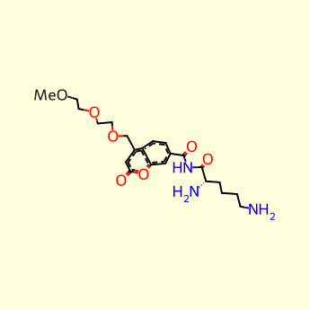 COCCOCCOCc1cc(=O)oc2cc(C(=O)NC(=O)[C@@H](N)CCCCN)ccc12